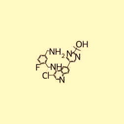 C[C@@H](Nc1c(Cl)cnc2ccc(-c3cnc(C(C)(C)O)nc3)cc12)c1cc(CN)ccc1F